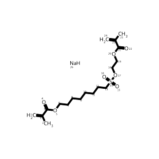 C=C(C)C(=O)OCCCCCCCCS(=O)(=O)OCCOC(=O)C(=C)C.[NaH]